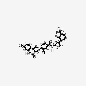 O=C(Nc1nc(-c2cccc(C(F)(F)F)c2F)cs1)c1cnc(N2C[C@H](C(=O)O)[C@@H](c3ccc(Cl)cc3)C2)c(Cl)c1